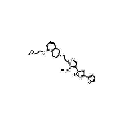 COCCOc1cccc2c1CCN(CCn1ncc(-c3nc(-c4ccco4)n[nH]3)c1N)C2